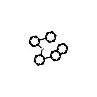 c1ccc(-c2ccccc2Nc2ccccc2-c2ccc3ccccc3c2)cc1